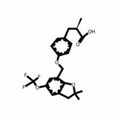 C[C@H](Cc1ccc(OCc2cc(OC(F)(F)F)cc3c2OC(C)(C)C3)cc1)C(=O)O